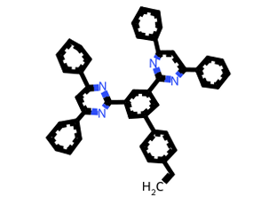 C=Cc1ccc(-c2cc(-c3nc(-c4ccccc4)cc(-c4ccccc4)n3)cc(-c3nc(-c4ccccc4)cc(-c4ccccc4)n3)c2)cc1